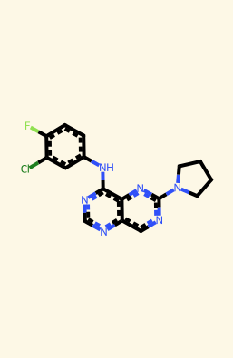 Fc1ccc(Nc2ncnc3cnc(N4CCCC4)nc23)cc1Cl